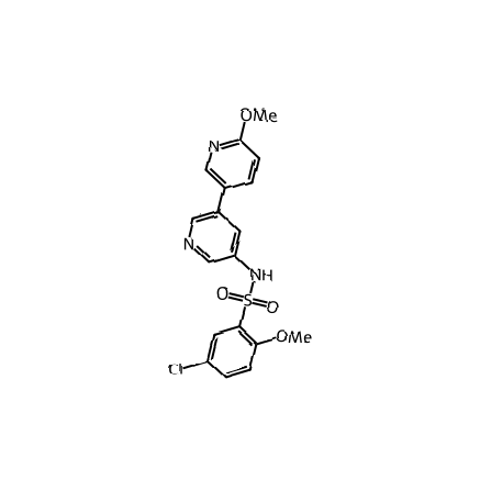 COc1ccc(-c2cncc(NS(=O)(=O)c3cc(Cl)ccc3OC)c2)cn1